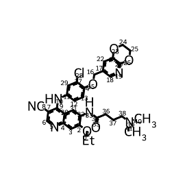 CCOc1cc2ncc(C#N)c(Nc3ccc(OCc4cnc5c(c4)OCCO5)c(Cl)c3)c2cc1NC(=O)CCCN(C)C